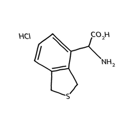 Cl.NC(C(=O)O)c1cccc2c1CSC2